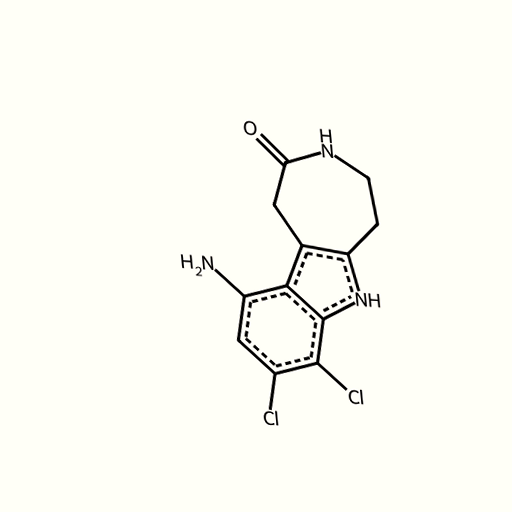 Nc1cc(Cl)c(Cl)c2[nH]c3c(c12)CC(=O)NCC3